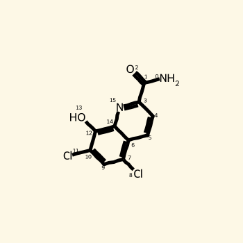 NC(=O)c1ccc2c(Cl)cc(Cl)c(O)c2n1